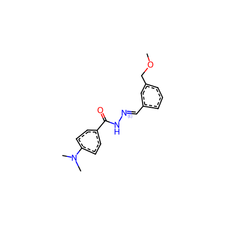 COCc1cccc(/C=N/NC(=O)c2ccc(N(C)C)cc2)c1